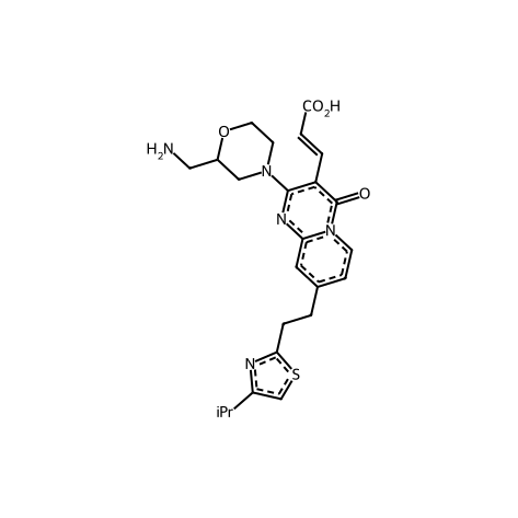 CC(C)c1csc(CCc2ccn3c(=O)c(/C=C/C(=O)O)c(N4CCOC(CN)C4)nc3c2)n1